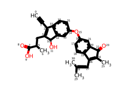 C#CC1=C(CC(C)C(=O)O)[C@H](O)c2cc(Oc3ccc4c(c3)C(=O)C(C)=C4C=C(C)C)ccc21